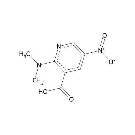 CN(C)c1ncc([N+](=O)[O-])cc1C(=O)O